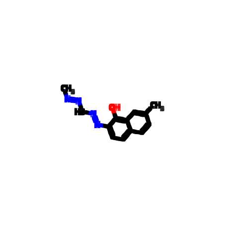 CN=NBN=Nc1ccc2ccc(C)cc2c1O